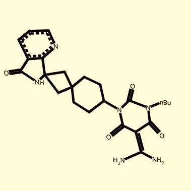 CCCCN1C(=O)C(=C(N)N)C(=O)N(C2CCC3(CC2)CC2(C3)NC(=O)c3cccnc32)C1=O